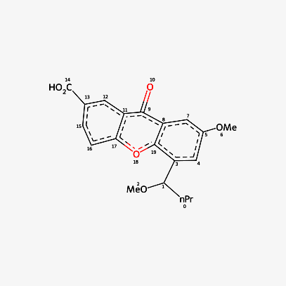 CCCC(OC)c1cc(OC)cc2c(=O)c3cc(C(=O)O)ccc3oc12